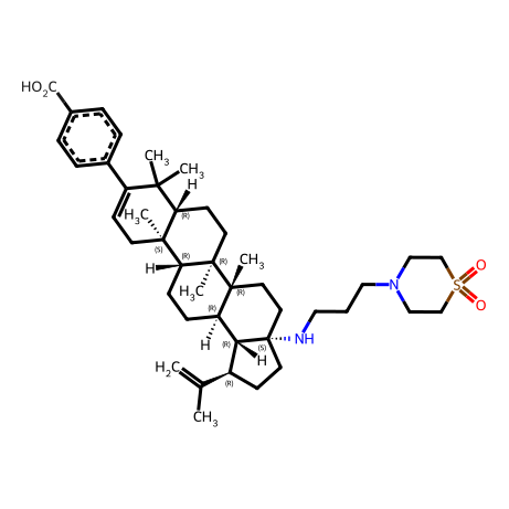 C=C(C)[C@@H]1CC[C@]2(NCCCN3CCS(=O)(=O)CC3)CC[C@]3(C)[C@H](CC[C@@H]4[C@@]5(C)CC=C(c6ccc(C(=O)O)cc6)C(C)(C)[C@@H]5CC[C@]43C)[C@@H]12